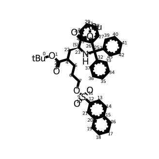 CC(C)(C)OC(=O)C(CCCOS(=O)(=O)c1ccc2ccccc2c1)C[C@H](NC(c1ccccc1)(c1ccccc1)c1ccccc1)C(=O)OC(C)(C)C